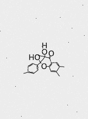 Cc1ccc(C2(O)Oc3cc(C)c(C)cc3C(=O)C2(C)O)cc1